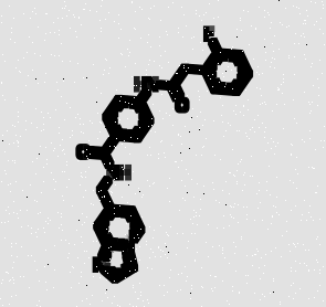 O=C(Cc1ccccc1F)Nc1ccc(C(=O)NCc2ccn3ccnc3c2)cc1